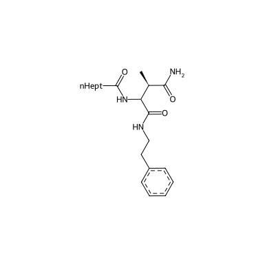 CCCCCCCC(=O)NC(C(=O)NCCc1ccccc1)[C@@H](C)C(N)=O